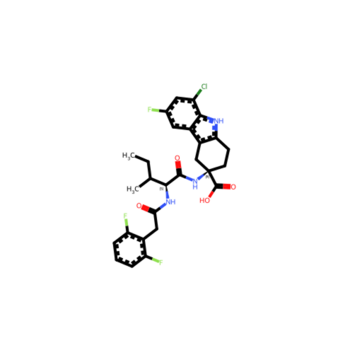 CCC(C)[C@H](NC(=O)Cc1c(F)cccc1F)C(=O)N[C@]1(C(=O)O)CCc2[nH]c3c(Cl)cc(F)cc3c2C1